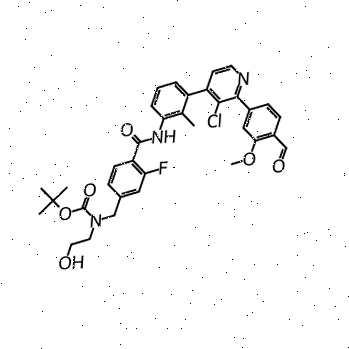 COc1cc(-c2nccc(-c3cccc(NC(=O)c4ccc(CN(CCO)C(=O)OC(C)(C)C)cc4F)c3C)c2Cl)ccc1C=O